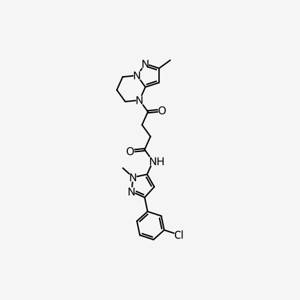 Cc1cc2n(n1)CCCN2C(=O)CCC(=O)Nc1cc(-c2cccc(Cl)c2)nn1C